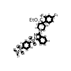 CCOC(=O)C1(c2ccc(F)cc2F)CCN(c2nn(S(=O)(=O)c3ccc(S(=O)(=O)N(C)C)cc3)c3ccccc23)CC1